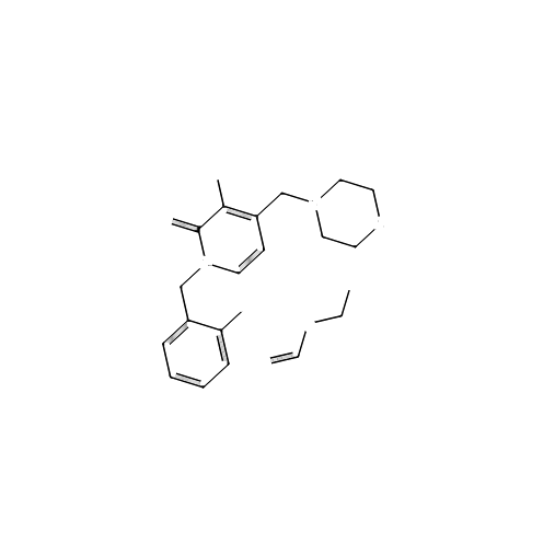 CCOC=O.O=c1c(O)c(CN2CCNCC2)ccn1Cc1ccccc1F